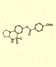 COc1ccc(C(=O)Oc2ccc3c(c2)S(=O)(=O)NC2CCCN32)cc1